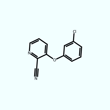 N#Cc1ncccc1Oc1cccc(Cl)c1